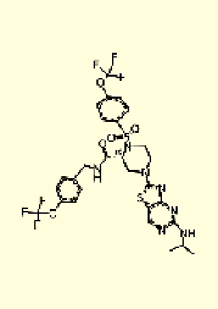 CC(C)Nc1ncc2sc(N3CCN(S(=O)(=O)c4ccc(OC(F)(F)F)cc4)[C@@H](C(=O)NCc4ccc(OC(F)(F)F)cc4)C3)nc2n1